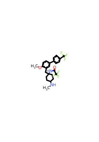 CNC1CCC(Cc2cc(-c3ccc(C(F)(F)F)cc3)ccc2OC)(NC(=O)C(F)(F)F)CC1